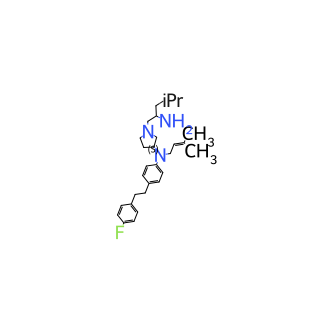 CC(C)=CCN(c1ccc(CCc2ccc(F)cc2)cc1)[C@H]1CCN(CC(N)CC(C)C)C1